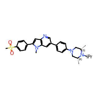 CC(C)N1[C@H](C)CN(c2ccc(-c3cnc4cc(-c5ccc(S(C)(=O)=O)cc5)n(C)c4c3)cc2)C[C@@H]1C